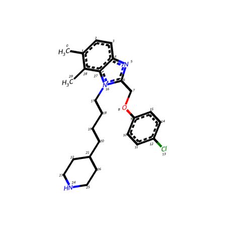 Cc1ccc2nc(COc3ccc(Cl)cc3)n(CCCCC3CCNCC3)c2c1C